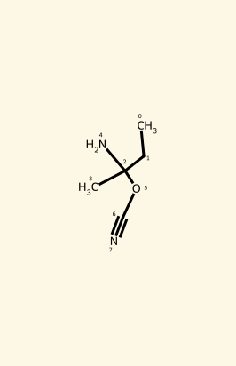 CCC(C)(N)OC#N